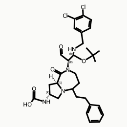 CC(C)(C)O[C@@H](NCc1ccc(Cl)c(Cl)c1)[C@H](C=O)N1CCC(CCc2ccccc2)N2C[C@H](NC(=O)O)C[C@H]2C1=O